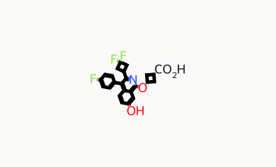 O=C(O)[C@H]1C[C@H](Oc2nc(C3CC(F)(F)C3)c(-c3ccc(F)cc3)c3ccc(O)cc23)C1